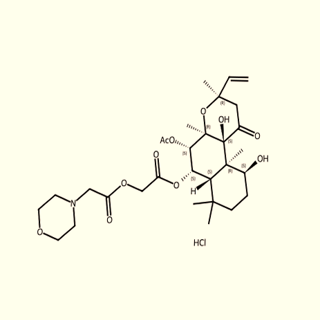 C=C[C@@]1(C)CC(=O)[C@]2(O)[C@@]3(C)[C@@H](O)CCC(C)(C)[C@@H]3[C@H](OC(=O)COC(=O)CN3CCOCC3)[C@H](OC(C)=O)[C@@]2(C)O1.Cl